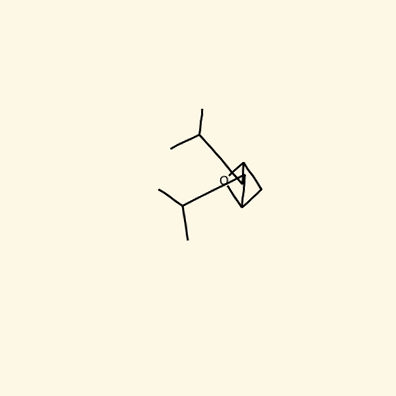 CC(C)C1C2CC(O2)C1C(C)C